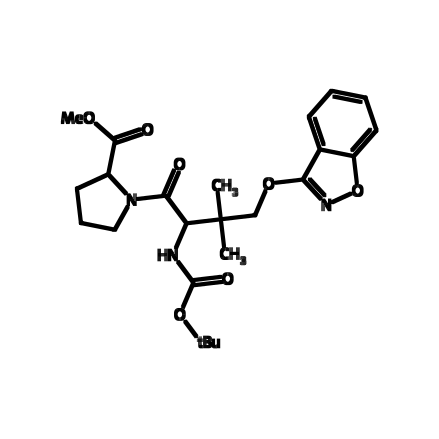 COC(=O)C1CCCN1C(=O)C(NC(=O)OC(C)(C)C)C(C)(C)COc1noc2ccccc12